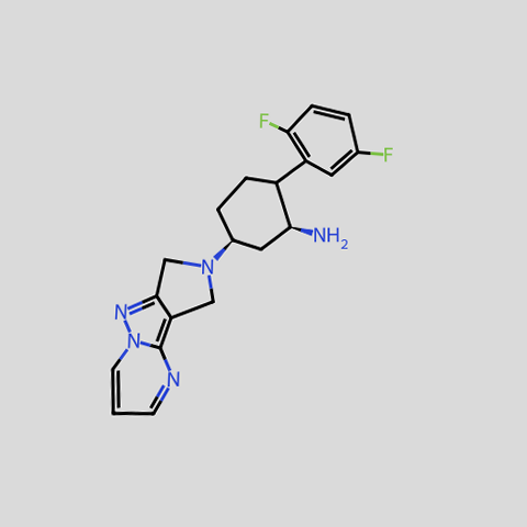 N[C@H]1C[C@@H](N2Cc3nn4cccnc4c3C2)CCC1c1cc(F)ccc1F